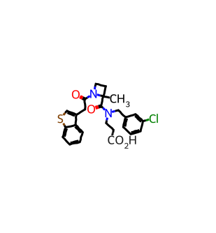 CC1(C(=O)N(CCC(=O)O)Cc2cccc(Cl)c2)CCN1C(=O)Cc1csc2ccccc12